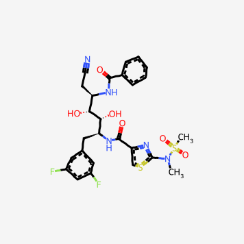 CN(c1nc(C(=O)N[C@@H](Cc2cc(F)cc(F)c2)[C@@H](O)[C@H](O)[C@@H](CC#N)NC(=O)c2ccccc2)cs1)S(C)(=O)=O